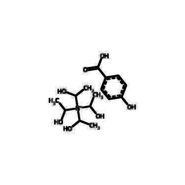 CC(O)[N+](C(C)O)(C(C)O)C(C)O.O=C(O)c1ccc(O)cc1